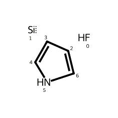 F.[Si].c1cc[nH]c1